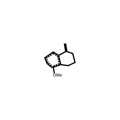 C=C1CCCc2c(OC)cccc21